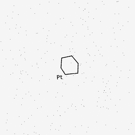 C1CCCCC1.[Pt]